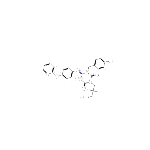 CCC(C)(CO)Cn1c(=O)[nH]/c(=N\c2ccc(Oc3ccccn3)cc2)n(Cc2ccc(Cl)cc2)c1=O